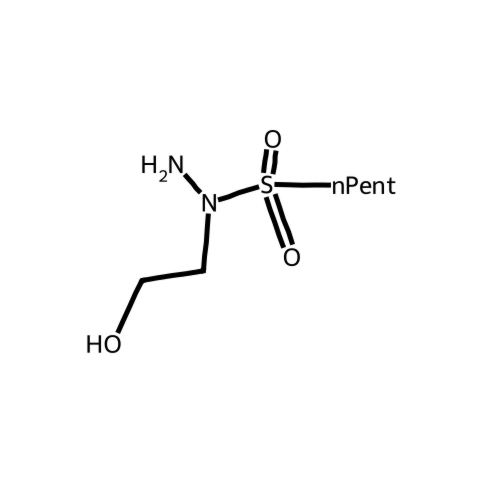 CCCCCS(=O)(=O)N(N)CCO